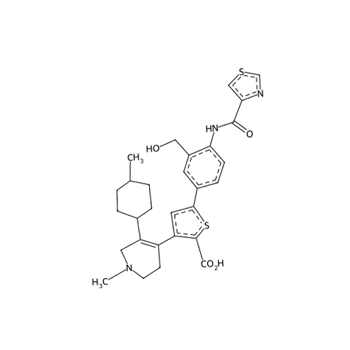 CC1CCC(C2=C(c3cc(-c4ccc(NC(=O)c5cscn5)c(CO)c4)sc3C(=O)O)CCN(C)C2)CC1